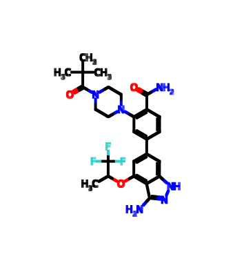 CC(Oc1cc(-c2ccc(C(N)=O)c(N3CCN(C(=O)C(C)(C)C)CC3)c2)cc2[nH]nc(N)c12)C(F)(F)F